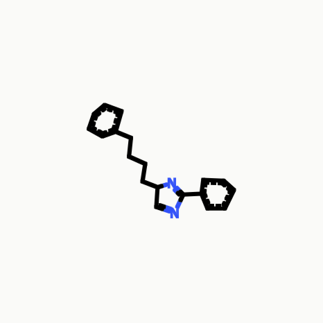 C1=NC(c2ccccc2)=NC1CCCCc1ccccc1